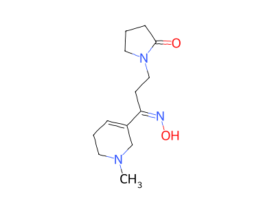 CN1CCC=C(/C(CCN2CCCC2=O)=N\O)C1